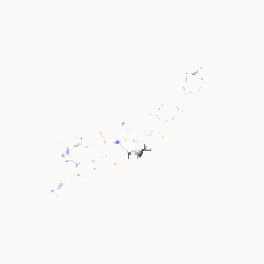 N#Cc1ccc(N2C(=O)[C@@H]3[C@@H]4C[C@@H](CN4C(=O)c4ccc(-c5ccccc5)cc4)N3C2=O)c2cccnc12